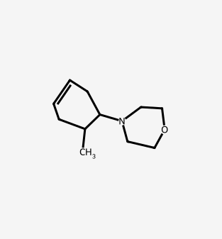 CC1CC=CCC1N1CCOCC1